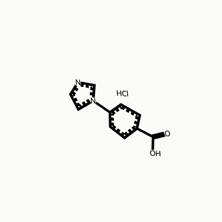 Cl.O=C(O)c1ccc(-n2ccnc2)cc1